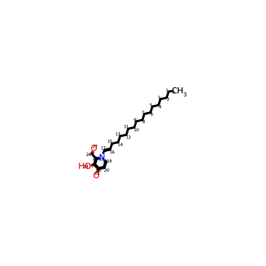 CCCCCCCCCCCCCCCCC=Cn1ccc(=O)c(O)c1C=O